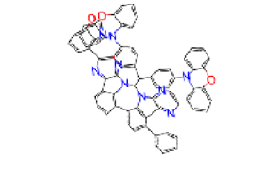 c1ccc(-c2ccc3c4c2c2nccnc2n4C(C(c2ccc(N4c5ccccc5Oc5ccccc54)cc2)c2ccc(N4c5ccccc5Oc5ccccc54)cc2)n2c4ncc(-c5cccc6ocnc56)nc4c4cccc-3c42)cc1